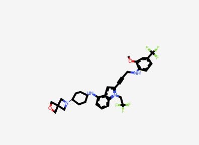 COc1cc(C(F)(F)F)ccc1NCC#Cc1cc2c(N[C@H]3CC[C@@H](N4CC5(COC5)C4)CC3)cccc2n1CC(F)(F)F